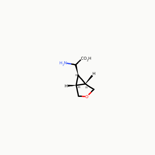 NC(C(=O)O)[C@H]1[C@@H]2COC[C@@H]21